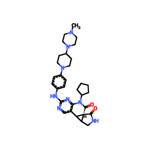 CN1CCN(C2CCN(c3ccc(Nc4ncc5c(n4)N(C4CCCC4)C(=O)[C@]46C(=O)NCC4C56)cc3)CC2)CC1